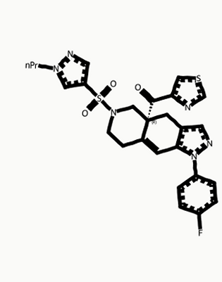 CCCn1cc(S(=O)(=O)N2CCC3=Cc4c(cnn4-c4ccc(F)cc4)C[C@]3(C(=O)c3cscn3)C2)cn1